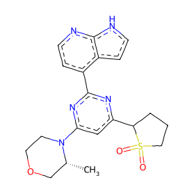 C[C@@H]1COCCN1c1cc(C2CCCS2(=O)=O)nc(-c2ccnc3[nH]ccc23)n1